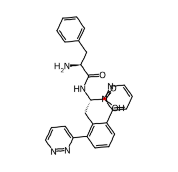 N[C@@H](Cc1ccccc1)C(=O)N[C@@H](Cc1c(-c2cccnn2)cccc1-c1cccnn1)C(=O)O